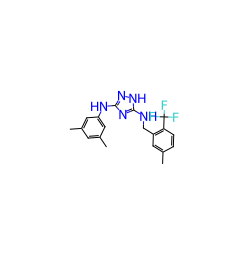 Cc1cc(C)cc(Nc2n[nH]c(NCc3cc(C)ccc3C(F)(F)F)n2)c1